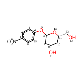 O=[N+]([O-])c1ccc(OC2C[C@@H](O)C[C@@H](CO)O2)cc1